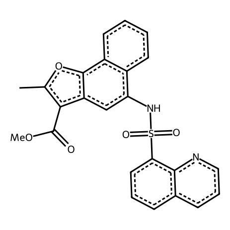 COC(=O)c1c(C)oc2c1cc(NS(=O)(=O)c1cccc3cccnc13)c1ccccc12